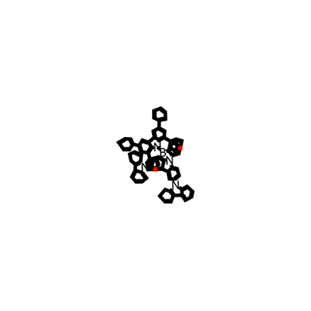 C1=Cc2c(c3ccccc3n2-c2cc3c4c(c2)c2cc(-n5c6c(c7ccccc75)C=CCC6)ccc2n4-c2ccccc2B3n2c3c(-c4ccccc4)cc(-c4ccccc4)cc3c3cc(-c4ccccc4)cc(-c4ccccc4)c32)CC1